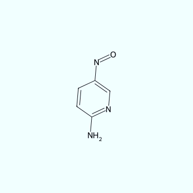 Nc1ccc(N=O)cn1